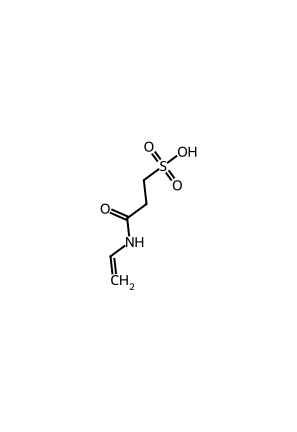 C=CNC(=O)CCS(=O)(=O)O